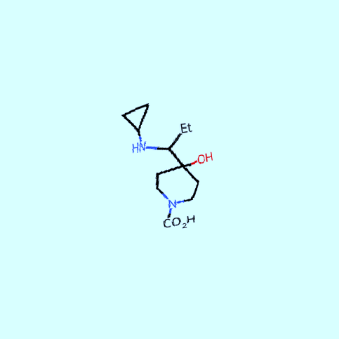 CCC(NC1CC1)C1(O)CCN(C(=O)O)CC1